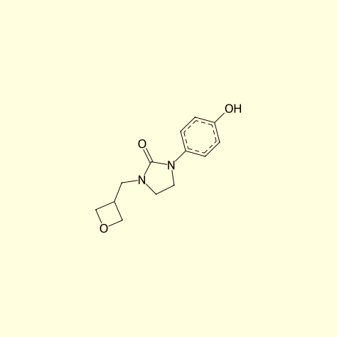 O=C1N(CC2COC2)CCN1c1ccc(O)cc1